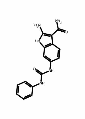 NC(=O)c1c(N)[nH]c2cc(NC(=O)Nc3ccccc3)ccc12